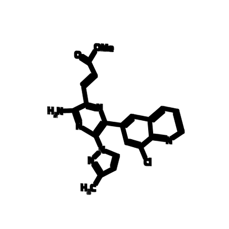 COC(=O)C=Cc1nc(-c2cc(Cl)c3ncccc3c2)c(-n2ccc(C)n2)nc1N